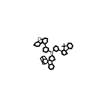 CC1(C)c2ccccc2-c2cccc(-c3cccc(N(c4cccc(-c5cccc6oc7ccccc7c56)c4)c4ccc5c(c4)C4(c6ccccc6-5)C5CC6CC(C5)CC4C6)c3)c21